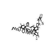 COc1ccc(C(=O)C=Cc2cc(-c3ccccc3)ccc2OCCN(C)C)c(OC)c1OC